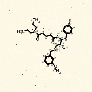 CCCN(CCC)C(=O)CCCC(=O)N[C@@H](Cc1ccc(F)cc1)[C@H](O)CNCc1cccc(OC)c1